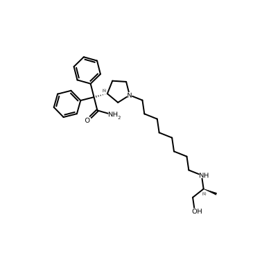 C[C@@H](CO)NCCCCCCCCN1CC[C@@H](C(C(N)=O)(c2ccccc2)c2ccccc2)C1